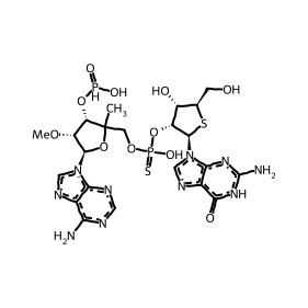 CO[C@H]1[C@H](n2cnc3c(N)ncnc32)OC(C)(COP(O)(=S)O[C@@H]2[C@H](O)[C@@H](CO)S[C@H]2n2cnc3c(=O)[nH]c(N)nc32)[C@H]1O[PH](=O)O